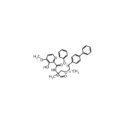 COc1ccnc(C(=O)N[C@@](C)(C=O)CO[C@@H](C)[C@H](Oc2ccccc2)c2ccc(-c3ccccc3)cc2)c1O